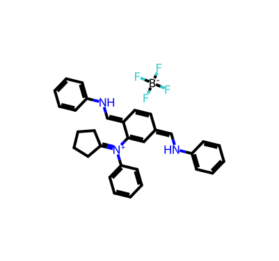 C(Nc1ccccc1)=c1ccc(=CNc2ccccc2)c([N+](=C2CCCC2)c2ccccc2)c1.F[B-](F)(F)F